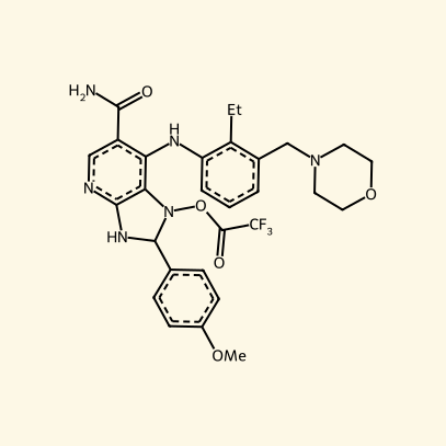 CCc1c(CN2CCOCC2)cccc1Nc1c(C(N)=O)cnc2c1N(OC(=O)C(F)(F)F)C(c1ccc(OC)cc1)N2